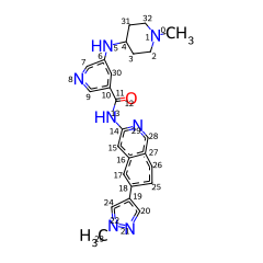 CN1CCC(Nc2cncc(C(=O)Nc3cc4cc(-c5cnn(C)c5)ccc4cn3)c2)CC1